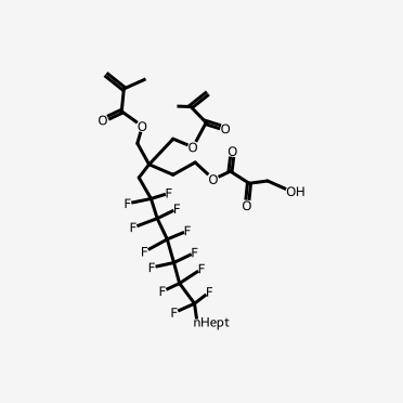 C=C(C)C(=O)OCC(CCOC(=O)C(=O)CO)(COC(=O)C(=C)C)CC(F)(F)C(F)(F)C(F)(F)C(F)(F)C(F)(F)C(F)(F)CCCCCCC